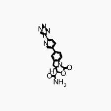 NC(=O)[C@@H]1OC(=O)N2c3ccc(-c4ccc(-n5cnnn5)nc4)cc3C[C@@H]12